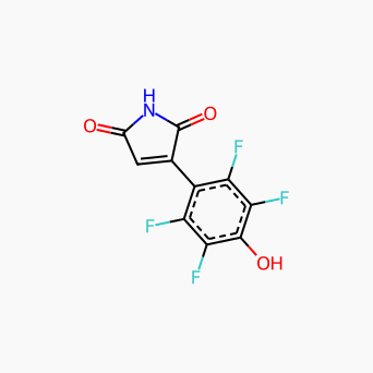 O=C1C=C(c2c(F)c(F)c(O)c(F)c2F)C(=O)N1